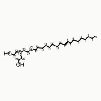 CCCCCCCCC=CCCCCCCCCOCCN(CCO)CCO